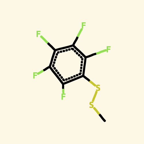 CSSc1c(F)c(F)c(F)c(F)c1F